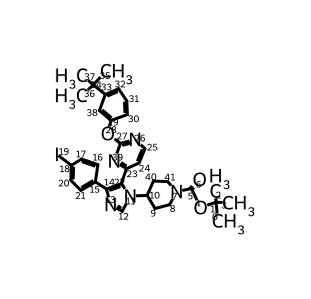 CC(C)(C)OC(=O)N1CCC(n2cnc(-c3ccc(I)cc3)c2-c2ccnc(Oc3cccc(C(C)(C)C)c3)n2)CC1